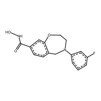 O=C(NO)c1ccc2c(c1)OCCN(c1cccc(F)c1)C2